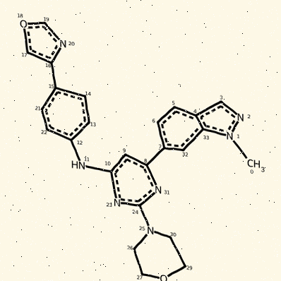 Cn1ncc2ccc(-c3cc(Nc4ccc(-c5cocn5)cc4)nc(N4CCOCC4)n3)cc21